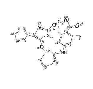 Cc1cc(Nc2cc(Oc3sc(C(F)(F)F)nc3-c3ccccc3)ccn2)ccc1C(N)=O